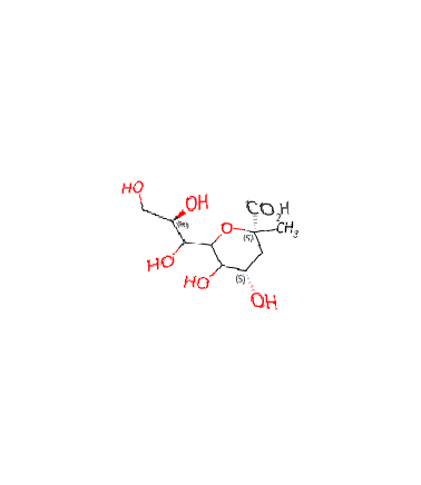 C[C@@]1(C(=O)O)C[C@H](O)C(O)C(C(O)[C@H](O)CO)O1